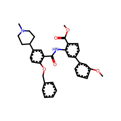 COC(=O)c1ccc(-c2cccc(OC)c2)cc1NC(=O)c1cc(C2CCN(C)CC2)ccc1OCc1ccccc1